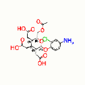 CC(=O)OC[C@@H]1O[C@@H](Oc2ccc(N)cc2Cl)[C@H](CC(=O)O)[C@@H](CC(=O)O)[C@H]1CC(=O)O